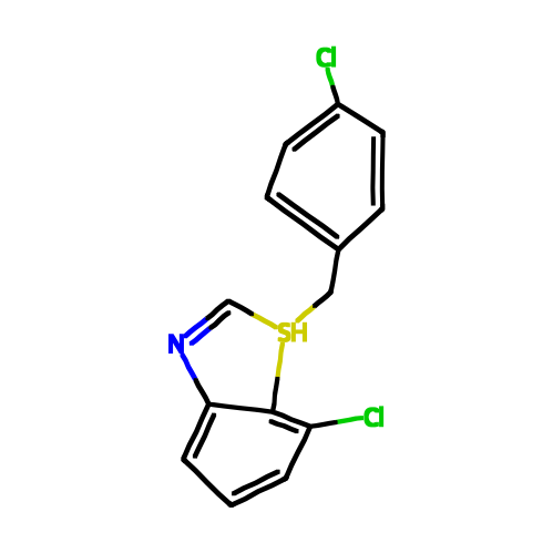 Clc1ccc(C[SH]2C=Nc3cccc(Cl)c32)cc1